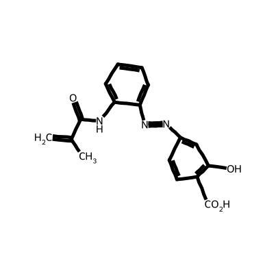 C=C(C)C(=O)Nc1ccccc1N=Nc1ccc(C(=O)O)c(O)c1